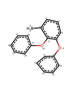 Bc1cccc(Oc2ccccc2)c1Oc1ccccc1